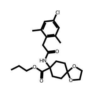 CCCOC(=O)C1(NC(=O)Cc2c(C)cc(Cl)cc2C)CCC2(CC1)OCCO2